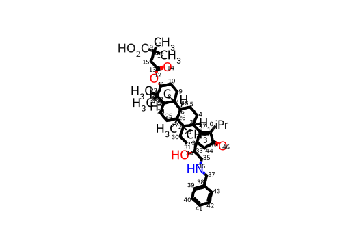 CC(C)C1=C2[C@H]3CC[C@@H]4[C@@]5(C)CC[C@H](OC(=O)CC(C)(C)C(=O)O)C(C)(C)[C@@H]5CC[C@@]4(C)[C@]3(C)CC[C@@]2([C@H](O)CNCc2ccccc2)CC1=O